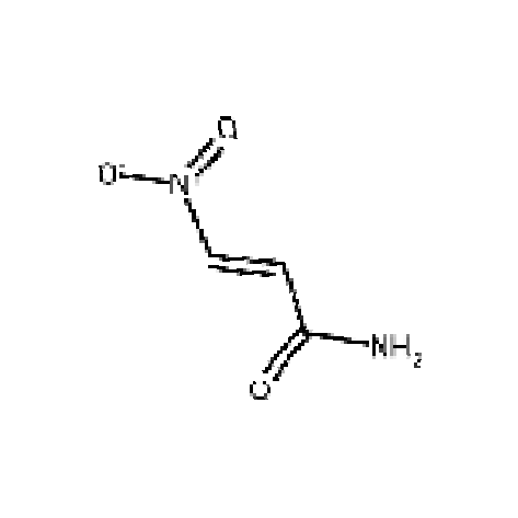 NC(=O)C=C[N+](=O)[O-]